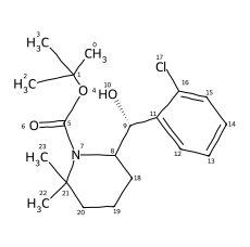 CC(C)(C)OC(=O)N1C([C@H](O)c2ccccc2Cl)CCCC1(C)C